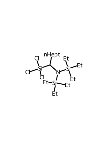 CCCCCCCC(N([Si](CC)(CC)CC)[Si](CC)(CC)CC)[Si](Cl)(Cl)Cl